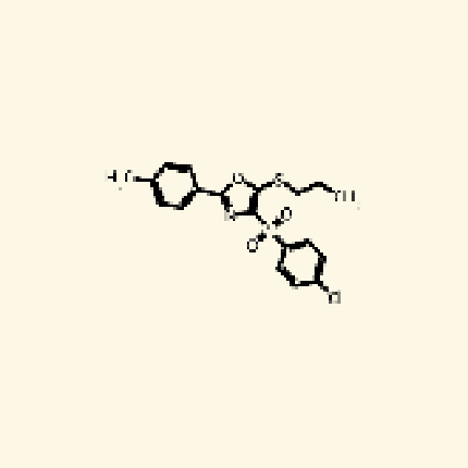 CCCSc1oc(-c2ccc(C)cc2)nc1S(=O)(=O)c1ccc(Cl)cc1